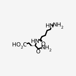 NNCCCCC(=O)N[C@@H](CCC(=O)O)C(N)=O